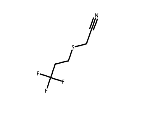 N#CCSCCC(F)(F)F